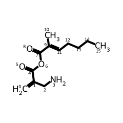 C=C(CN)C(=O)OC(=O)C(C)=CCCCC